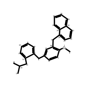 COc1ccc(Cc2ccccc2CC(C)C)cc1Cc1cccc2ccccc12